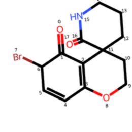 O=C1C2=C(C=CC1Br)OCCC21CCCNC1=O